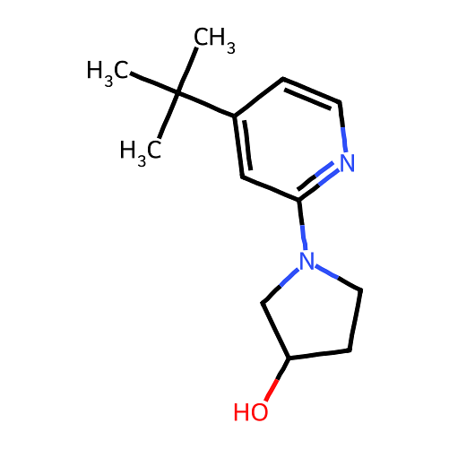 CC(C)(C)c1ccnc(N2CCC(O)C2)c1